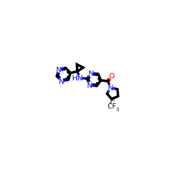 O=C(c1cnc(NC2(c3cncnc3)CC2)nc1)N1CC[C@H](C(F)(F)F)C1